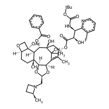 CC(=O)O[C@@]12CO[C@@H]1CC[C@@]1(C)[C@@H]3O[C@H](CN4CC[C@@H]4C)O[C@@H]3C3=C(C)[C@@H](OC(=O)[C@H](O)[C@@H](NC(=O)OC(C)(C)C)c4ncccc4F)C[C@@](O)([C@@H](OC(=O)c4ccccc4)[C@@H]12)C3(C)C